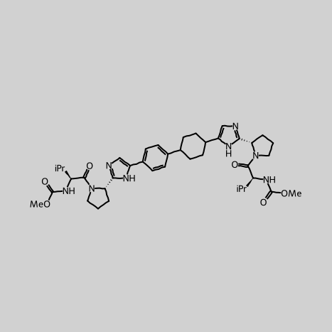 COC(=O)N[C@H](C(=O)N1CCC[C@H]1c1ncc(-c2ccc(C3CCC(c4cnc([C@@H]5CCCN5C(=O)[C@@H](NC(=O)OC)C(C)C)[nH]4)CC3)cc2)[nH]1)C(C)C